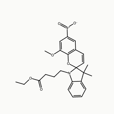 CCOC(=O)CCCN1c2ccccc2C(C)(C)C12C=Cc1cc([N+](=O)[O-])cc(OC)c1O2